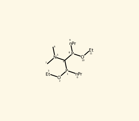 CCCP(OCC)C(N(C)C)P(CCC)OCC